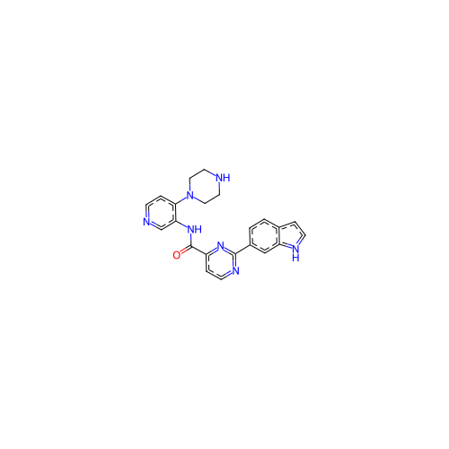 O=C(Nc1cnccc1N1CCNCC1)c1ccnc(-c2ccc3cc[nH]c3c2)n1